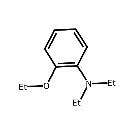 CCOc1[c]cccc1N(CC)CC